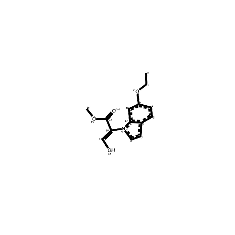 CCOc1ccc2ccn(/C(=C\O)C(=O)OC)c2c1